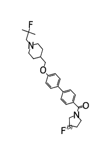 CC(C)(F)CN1CCC(COc2ccc(-c3ccc(C(=O)N4CC[C@H](F)C4)cc3)cc2)CC1